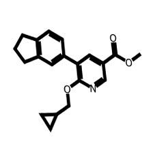 COC(=O)c1cnc(OCC2CC2)c(-c2ccc3c(c2)CCC3)c1